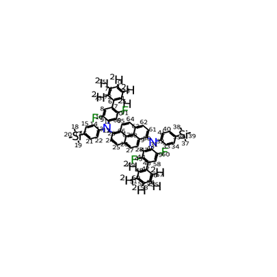 [2H]c1c([2H])c([2H])c(-c2cc(F)c(N(c3ccc([Si](C)(C)C)cc3)c3ccc4ccc5c(N(c6ccc([Si](C)(C)C)cc6)c6cc(F)c(-c7c([2H])c([2H])c([2H])c([2H])c7[2H])cc6F)ccc6ccc3c4c65)cc2F)c([2H])c1[2H]